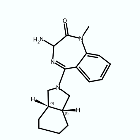 CN1C(=O)C(N)N=C(N2C[C@H]3CCCC[C@H]3C2)c2ccccc21